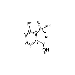 OCc1cccc(F)c1C(F)(F)F